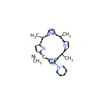 Cc1c2nc(cc3cc(-[n+]4ccccc4)c([nH]3)c(C)c3nc(c(C)c4ccc1[nH]4)C=C3)C=C2.[CH3][Ni]